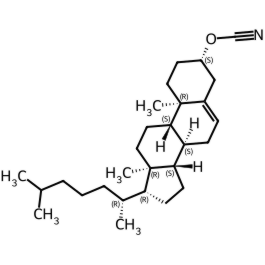 CC(C)CCC[C@@H](C)[C@H]1CC[C@H]2[C@@H]3CC=C4C[C@@H](OC#N)CC[C@]4(C)[C@H]3CC[C@]12C